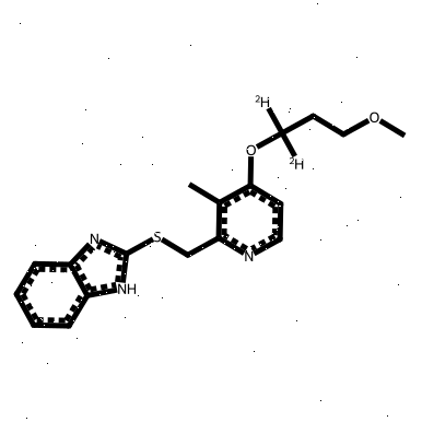 [2H]C([2H])(CCOC)Oc1ccnc(CSc2nc3ccccc3[nH]2)c1C